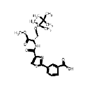 COC(=O)[C@H](CO[Si](C)(C)C(C)(C)C)NC(=O)c1csc(-c2cccc(C(=O)O)c2)n1